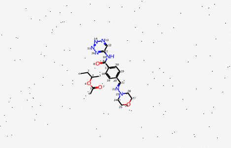 CCC(C)OC(C)=O.O=C(Nc1cnnnn1)c1ccc(C=NN2CCOCC2)cc1